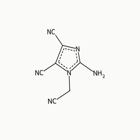 N#CCn1c(N)nc(C#N)c1C#N